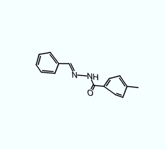 Cc1ccc(C(=O)NN=Cc2ccccc2)cc1